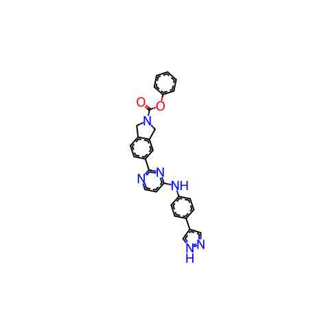 O=C(Oc1ccccc1)N1Cc2ccc(-c3nccc(Nc4ccc(-c5cn[nH]c5)cc4)n3)cc2C1